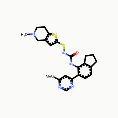 COc1cc(-c2ccc3c(c2NC(=O)NSc2cc4c(s2)CCN(C)C4)CCC3)ncn1